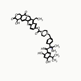 CCc1c2c(nc3ccc(OC(=O)N4CCN(Cc5ccc(/C(C(=N)c6cc(C(C)C)c(O)cc6O)=C(\C)N)cc5)CC4)cc13)-c1cc3c(c(=O)n1C2)COC(=O)C3O